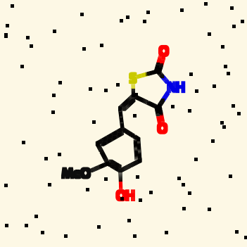 COc1cc(/C=C2/SC(=O)NC2=O)ccc1O